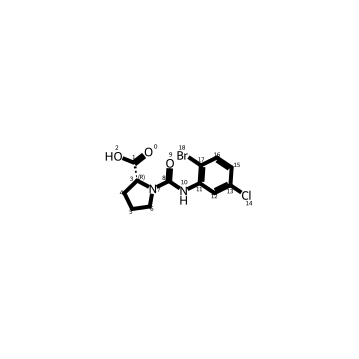 O=C(O)[C@H]1CCCN1C(=O)Nc1cc(Cl)ccc1Br